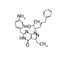 CCc1nn(C(CCCc2ccccc2)C(C)O)c2nc(Cc3ccc(N)cc3)[nH]c(=O)c12